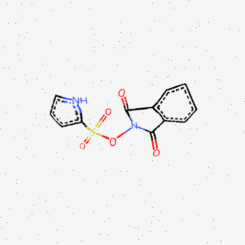 O=C1c2ccccc2C(=O)N1OS(=O)(=O)c1ccc[nH]1